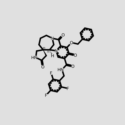 O=C1C[C@]2(CCCN3C[C@H]2n2cc(C(=O)NCc4c(F)cc(F)cc4F)c(=O)c(OCc4ccccc4)c2C3=O)CN1